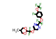 CC1COC(C(F)(F)Oc2cnc(C(F)(F)Oc3ccc(OC(F)(F)F)c(F)c3)nc2)OC1